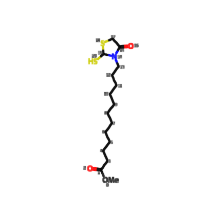 COC(=O)CCCCCCCCCCCN1C(=O)CSC1S